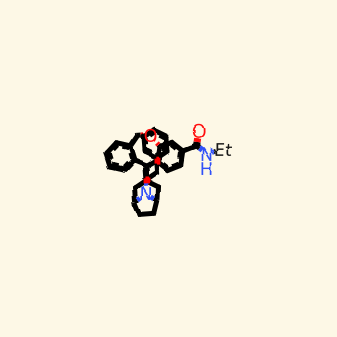 CCNC(=O)c1ccc2c(c1)OCc1ccccc1C2=C1CC2CCC(C1)N2CCc1ccccc1